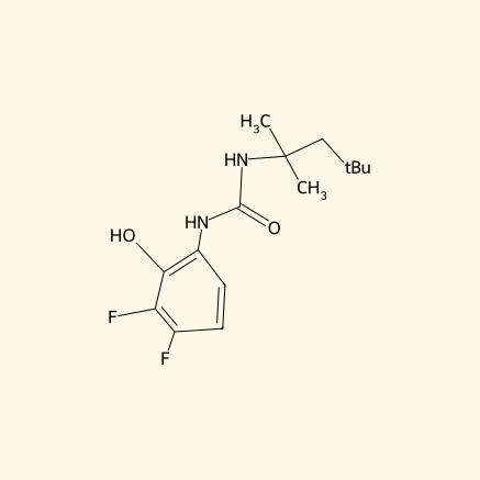 CC(C)(C)CC(C)(C)NC(=O)Nc1ccc(F)c(F)c1O